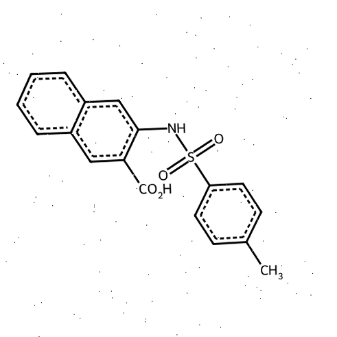 Cc1ccc(S(=O)(=O)Nc2cc3ccccc3cc2C(=O)O)cc1